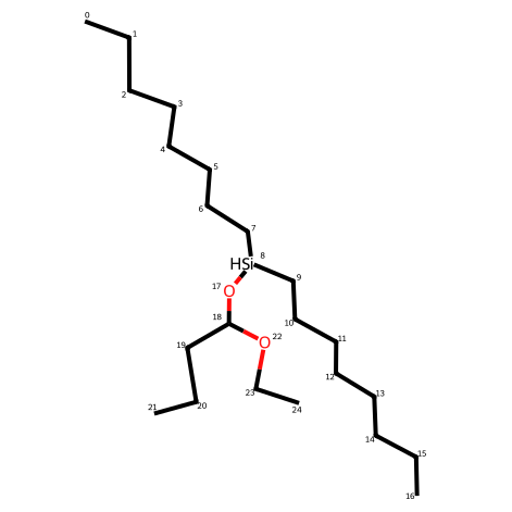 CCCCCCCC[SiH](CCCCCCCC)OC(CCC)OCC